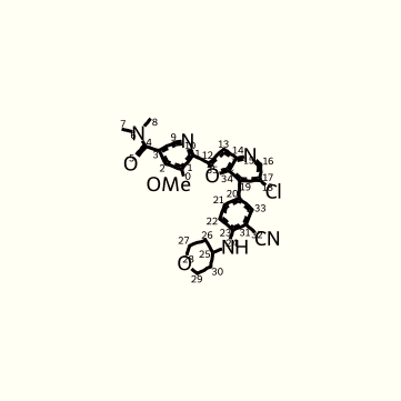 COc1cc(C(=O)N(C)C)cnc1-c1cc2ncc(Cl)c(-c3ccc(NC4CCOCC4)c(C#N)c3)c2o1